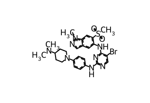 CN(C)C1CCN(c2ccc(Nc3ncc(Br)c(Nc4cc5cnn(C)c5cc4S(C)(=O)=O)n3)cc2)CC1